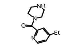 CCc1ccnc(C(=O)N2CCNCC2)c1